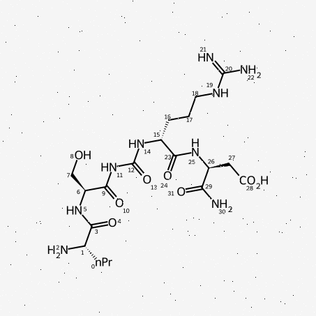 CCC[C@H](N)C(=O)N[C@@H](CO)C(=O)NC(=O)N[C@H](CCCNC(=N)N)C(=O)N[C@@H](CC(=O)O)C(N)=O